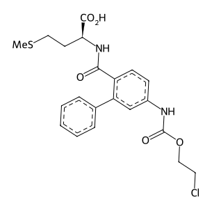 CSCC[C@H](NC(=O)c1ccc(NC(=O)OCCCl)cc1-c1ccccc1)C(=O)O